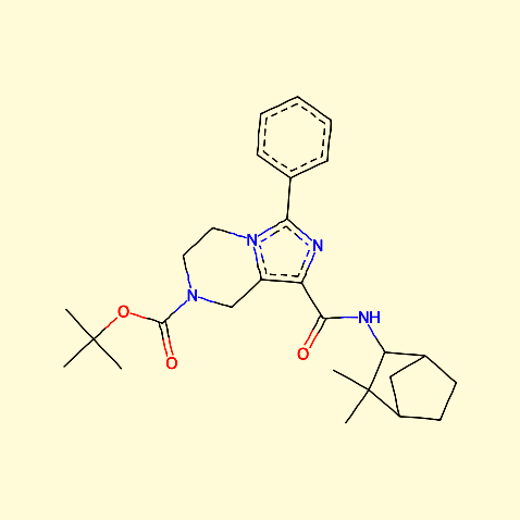 CC(C)(C)OC(=O)N1CCn2c(-c3ccccc3)nc(C(=O)NC3C4CCC(C4)C3(C)C)c2C1